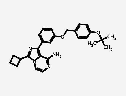 CC(C)(C)Oc1ccc(COc2cccc(-c3nc(C4CCC4)n4ccnc(N)c34)c2)cc1